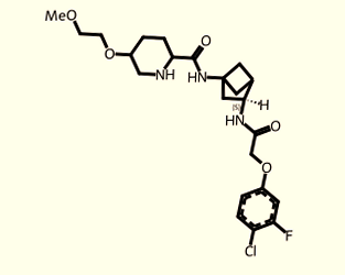 COCCOC1CCC(C(=O)NC23CC(C2)[C@@H](NC(=O)COc2ccc(Cl)c(F)c2)C3)NC1